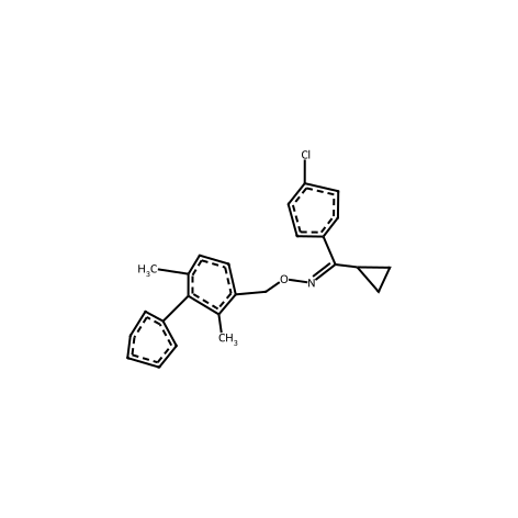 Cc1ccc(CON=C(c2ccc(Cl)cc2)C2CC2)c(C)c1-c1ccccc1